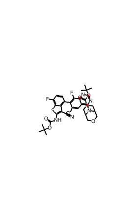 CC(C)(C)OC(=O)Nc1sc2c(F)ccc(-c3c(Cl)cc4c(N5C6COCC5CN(C(=O)OC(C)(C)C)C6)ncnc4c3F)c2c1C#N